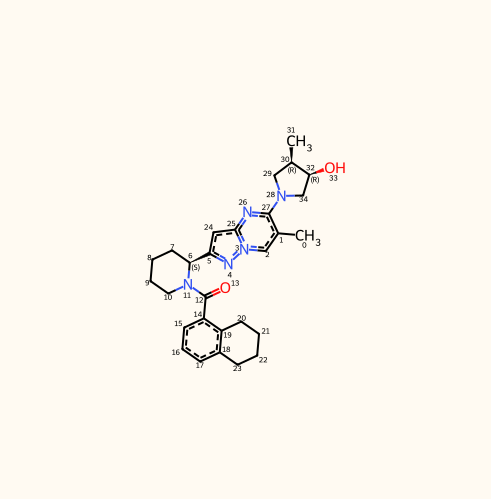 Cc1cn2nc([C@@H]3CCCCN3C(=O)c3cccc4c3CCCC4)cc2nc1N1C[C@@H](C)[C@@H](O)C1